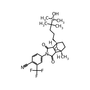 CC(C)(CCC[C@@]12CC[C@@](C)(O1)[C@H]1C(=O)N(c3ccc(C#N)c(C(F)(F)F)c3)C(=O)[C@H]12)[Si](C)(C)O